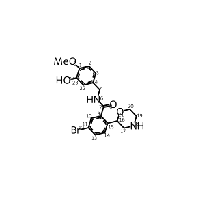 COc1ccc(CNC(=O)c2cc(Br)ccc2C2CNCCO2)cc1O